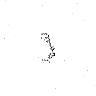 COCC(N)CNC=Nc1nc(-c2ccc(CNC(N)=O)o2)cs1